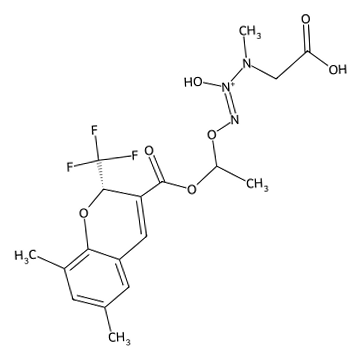 Cc1cc(C)c2c(c1)C=C(C(=O)OC(C)O/N=[N+](\O)N(C)CC(=O)O)[C@@H](C(F)(F)F)O2